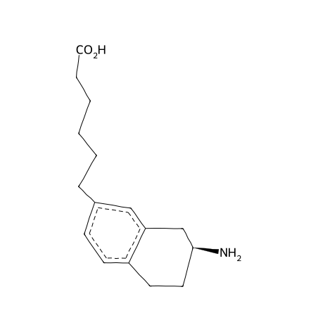 N[C@H]1CCc2ccc(CCCCCC(=O)O)cc2C1